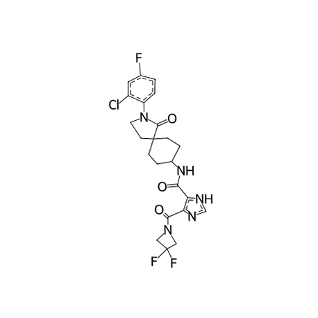 O=C(NC1CCC2(CC1)CCN(c1ccc(F)cc1Cl)C2=O)c1[nH]cnc1C(=O)N1CC(F)(F)C1